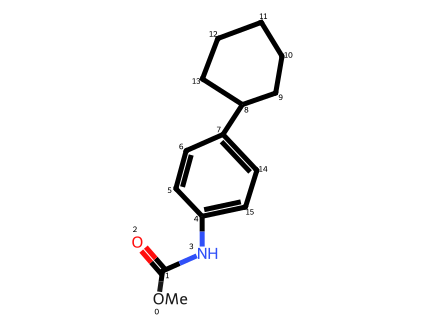 COC(=O)Nc1ccc(C2CCCCC2)cc1